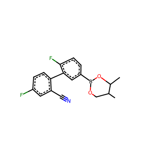 CC1COB(c2ccc(F)c(-c3ccc(F)cc3C#N)c2)OC1C